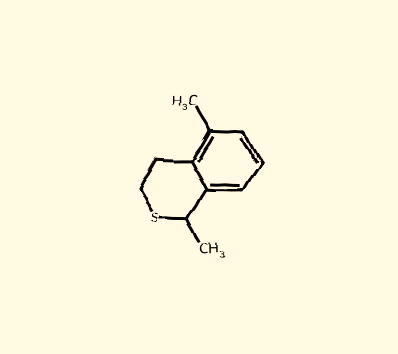 Cc1cccc2c1CCSC2C